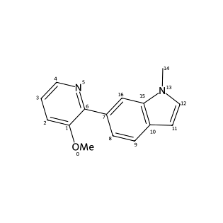 COc1cccnc1-c1ccc2ccn(C)c2c1